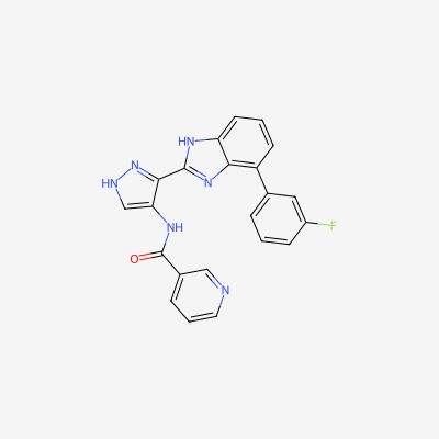 O=C(Nc1c[nH]nc1-c1nc2c(-c3cccc(F)c3)cccc2[nH]1)c1cccnc1